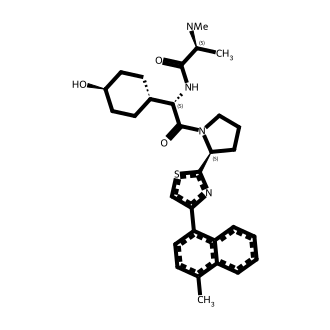 CN[C@@H](C)C(=O)N[C@H](C(=O)N1CCC[C@H]1c1nc(-c2ccc(C)c3ccccc23)cs1)[C@H]1CC[C@H](O)CC1